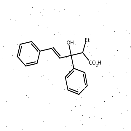 CCC(C(=O)O)C(O)(C=Cc1ccccc1)c1ccccc1